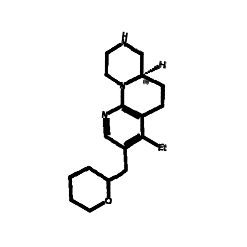 CCc1c(CC2CCCCO2)cnc2c1CC[C@@H]1CNCCN21